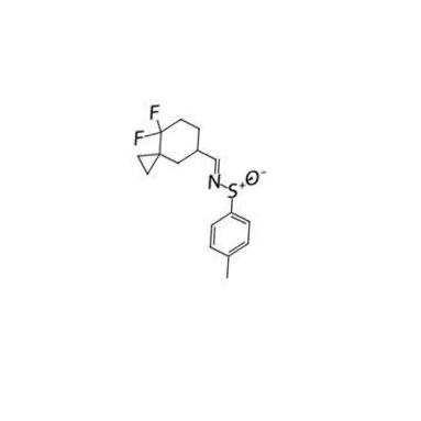 Cc1ccc([S@+]([O-])N=CC2CCC(F)(F)C3(CC3)C2)cc1